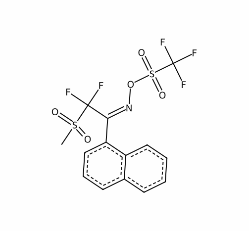 CS(=O)(=O)C(F)(F)C(=NOS(=O)(=O)C(F)(F)F)c1cccc2ccccc12